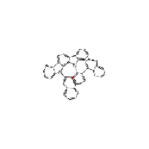 c1ccc(-n2c3ccccc3c3ccc4c5ccccc5n(-c5ccc6ccccc6c5)c4c32)c(-c2cccc3ccccc23)c1